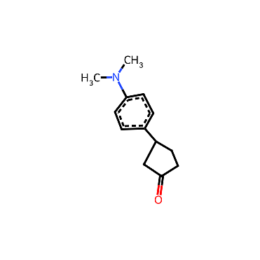 CN(C)c1ccc(C2CCC(=O)C2)cc1